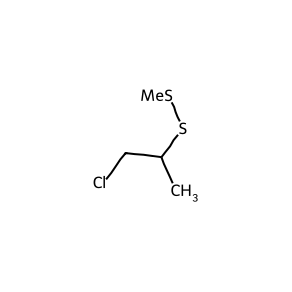 CSSC(C)CCl